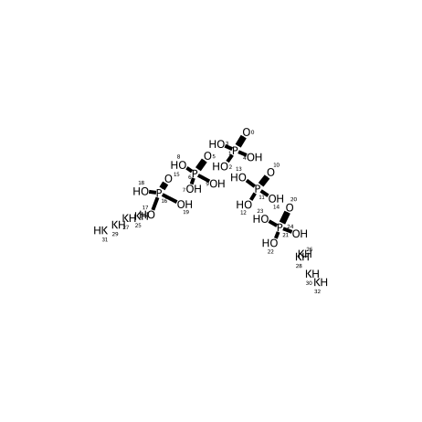 O=P(O)(O)O.O=P(O)(O)O.O=P(O)(O)O.O=P(O)(O)O.O=P(O)(O)O.[KH].[KH].[KH].[KH].[KH].[KH].[KH].[KH]